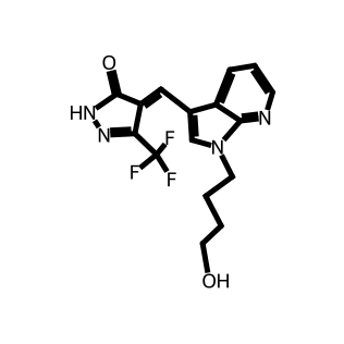 O=C1NN=C(C(F)(F)F)C1=Cc1cn(CCCCO)c2ncccc12